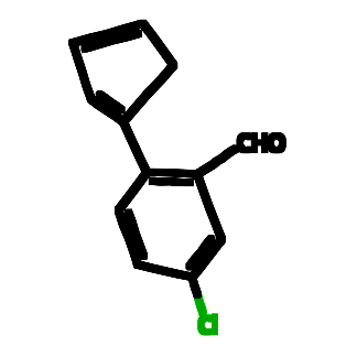 O=Cc1cc(Cl)ccc1C1=CC=CC1